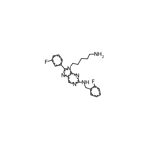 NCCCCCn1c(-c2cccc(F)c2)nc2cnc(NCc3ccccc3F)nc21